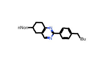 CCCCCCCCCC1CCc2nc(-c3ccc(CC(C)CC)cc3)ncc2C1